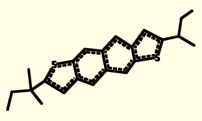 CCC(C)c1cc2cc3cc4sc(C(C)(C)CC)cc4cc3cc2s1